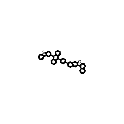 c1ccc2c(c1)ccc1oc3cc4cc(-c5ccc(-c6c7ccccc7c(-c7ccc8sc9ccccc9c8c7)c7ccccc67)cc5)ccc4cc3c12